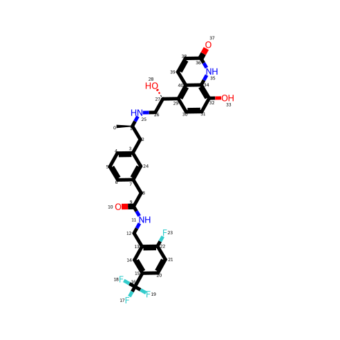 C[C@H](Cc1cccc(CC(=O)NCc2cc(C(F)(F)F)ccc2F)c1)NC[C@H](O)c1ccc(O)c2[nH]c(=O)ccc12